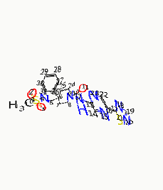 CS(=O)(=O)N1CC2(CCN(C(=O)Nc3cnc(-c4ncns4)cn3)CC2)c2ccccc21